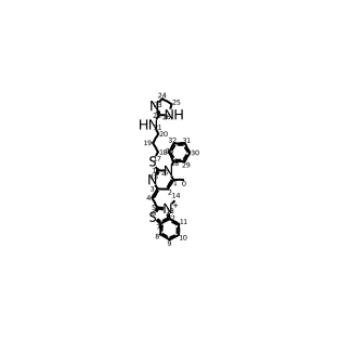 CC1=CC(=Cc2sc3ccccc3[n+]2C)N=C(SCCCNC2=NCCN2)N1c1ccccc1